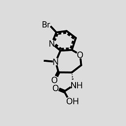 CN1C(=O)[C@@H](NC(=O)O)COc2ccc(Br)nc21